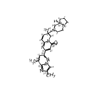 [2H]C1(N2CCN3CCC[C@H]3C2)C=Cc2nc(-c3cc(C)c4nc(C)cn4n3)cc(=O)n2C1